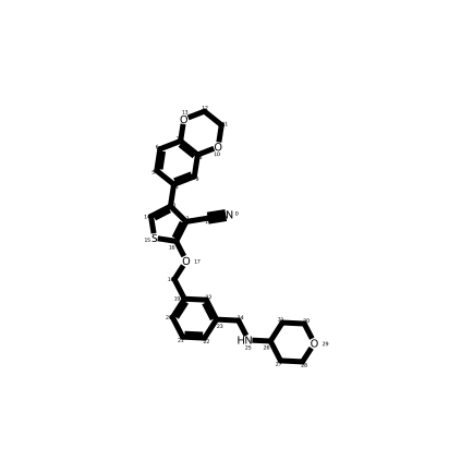 N#Cc1c(-c2ccc3c(c2)OCCO3)csc1OCc1cccc(CNC2CCOCC2)c1